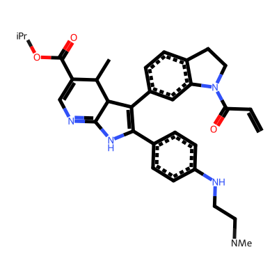 C=CC(=O)N1CCc2ccc(C3=C(c4ccc(NCCNC)cc4)NC4=NC=C(C(=O)OC(C)C)C(C)C43)cc21